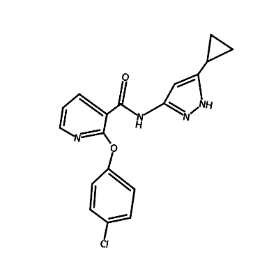 O=C(Nc1cc(C2CC2)[nH]n1)c1cccnc1Oc1ccc(Cl)cc1